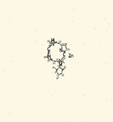 Cc1cc(C)c(-c2cc3cc4nc(cc5ccc(cc6nc(cc2[nH]3)C=C6)[nH]5)C=C4)c(C)c1.[Zn]